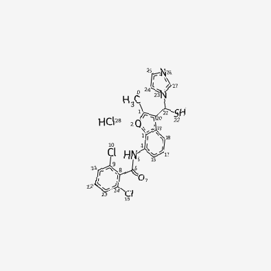 Cc1oc2c(NC(=O)c3c(Cl)cccc3Cl)cccc2c1C(S)n1ccnc1.Cl